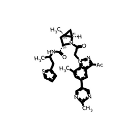 CC(=O)c1nn(CC(=O)N2[C@H](C(=O)NC(C)Cc3cccs3)C[C@@]3(C)C[C@@H]23)c2c(C)cc(-c3cnc(C)nc3)cc12